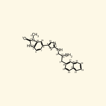 Cn1c(=O)[nH]c2ccc(-c3cnc(NC[C@@H](N)Cc4ccc5ccccc5c4)s3)cc21